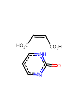 O=C(O)/C=C\C(=O)O.O=c1nccc[nH]1